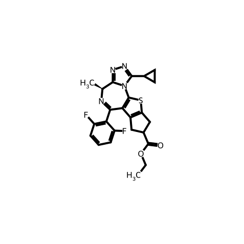 CCOC(=O)C1Cc2sc3c(c2C1)C(c1c(F)cccc1F)=N[C@@H](C)c1nnc(C2CC2)n1-3